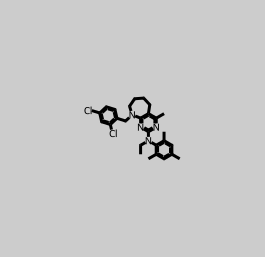 CCN(c1nc(C)c2c(n1)N(Cc1ccc(Cl)cc1Cl)CCCC2)c1c(C)cc(C)cc1C